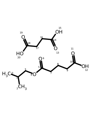 CC(C)COC(=O)CCCC(=O)O.O=C(O)CCC(=O)O